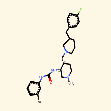 CC(=O)c1cccc(NC(=O)N[C@H]2CN(C)CC[C@H]2CN2CCCC(Cc3ccc(F)cc3)C2)c1